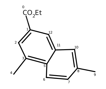 CCOC(=O)c1cc(C)c2ccc(C)cc2c1